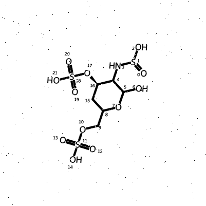 O=S(O)NC1C(O)OC(COS(=O)(=O)O)C[C@H]1OS(=O)(=O)O